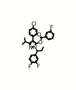 CCC(c1ccc(F)c(F)c1)n1nc(C(C)C)c(-c2ccc(Cl)cc2)c1OC(=O)c1cccc(F)c1